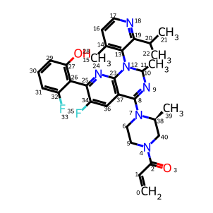 C=CC(=O)N1CCN(C2=NC(C)N(c3c(C)ccnc3C(C)C)c3nc(-c4c(O)cccc4F)c(F)cc32)[C@@H](C)C1